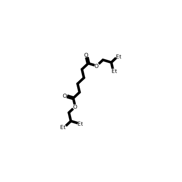 CCC(CC)COC(=O)CCCCC(=O)OCC(CC)CC